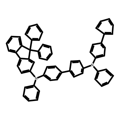 c1ccc(-c2ccc(N(c3ccccc3)c3ccc(-c4ccc(N(c5ccccc5)c5ccc6c(c5)C(c5ccccc5)(c5ccccc5)c5ccccc5-6)cc4)cc3)cc2)cc1